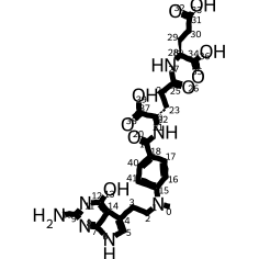 CN(CCc1c[nH]c2nc(N)nc(O)c12)c1ccc(C(=O)N[C@@H](CCC(=O)N[C@@H](CCC(=O)O)C(=O)O)C(=O)O)cc1